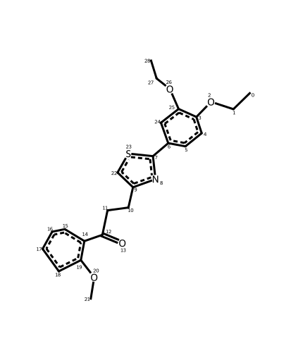 CCOc1ccc(-c2nc(CCC(=O)c3ccccc3OC)cs2)cc1OCC